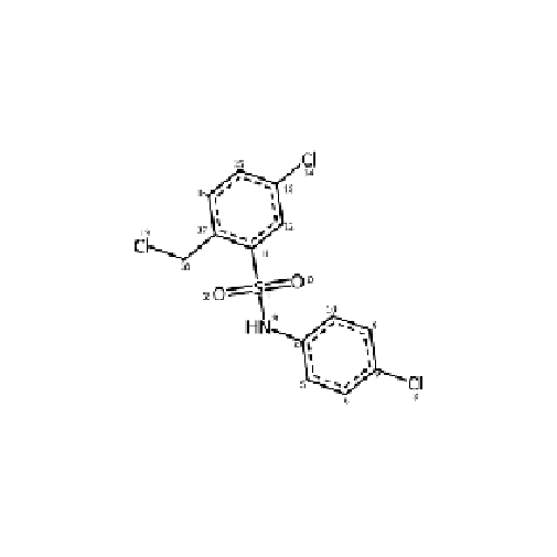 O=S(=O)(Nc1ccc(Cl)cc1)c1cc(Cl)ccc1CCl